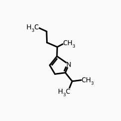 CCCC(C)C1=CCC(C(C)C)=N1